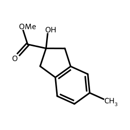 COC(=O)C1(O)Cc2ccc(C)cc2C1